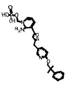 CC(C)(COc1ccc(Cc2cc(C3=CC=CN(COP(=O)(O)O)C3N)on2)cn1)c1ccccc1